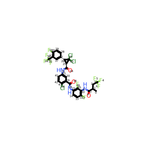 CC(CC(F)(F)F)C(=O)Nc1c(F)ccc(NC(=O)c2cc(NC(=O)[C@H]3[C@H](c4ccc(F)c(C(F)(F)F)c4)C3(Cl)Cl)ccc2Cl)c1F